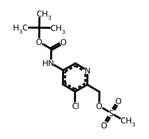 CC(C)(C)OC(=O)Nc1cnc(COS(C)(=O)=O)c(Cl)c1